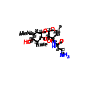 CNC1C2O[C@@]3(O)C(NC(=O)CCN)C[C@@H](C)OC3OC2C[C@H](NC)[C@@H]1O